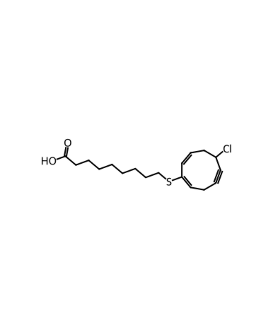 O=C(O)CCCCCCCCSC1=C/CC#CC(Cl)C/C=C\1